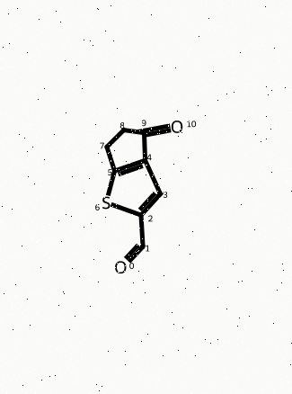 O=Cc1cc2c(s1)CCC2=O